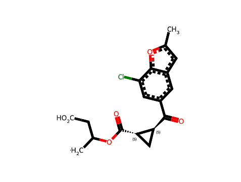 [CH2]C(CC(=O)O)OC(=O)[C@H]1C[C@@H]1C(=O)c1cc(Cl)c2oc(C)cc2c1